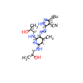 Cc1cc(NCC(C)O)nc(NCC(C)O)c1N=Nc1[nH]nc(C(C)(C)C)c1C#N